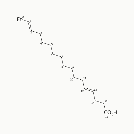 CCC=CCCCCCCCCCC=CCCC(=O)O